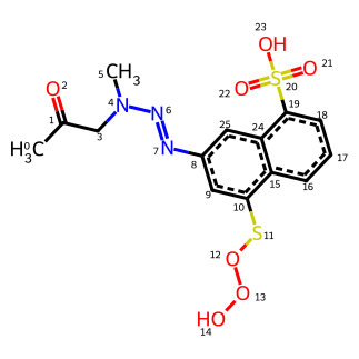 CC(=O)CN(C)N=Nc1cc(SOOO)c2cccc(S(=O)(=O)O)c2c1